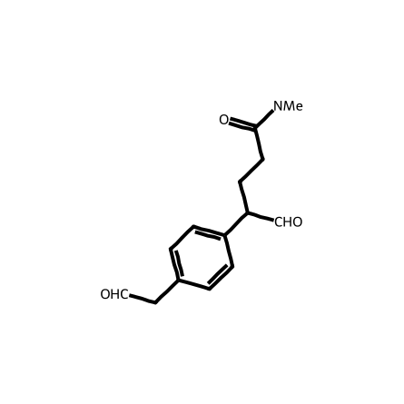 CNC(=O)CCC(C=O)c1ccc(CC=O)cc1